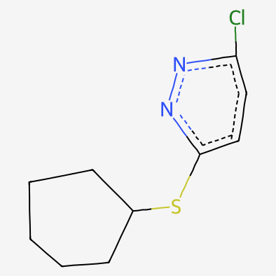 Clc1ccc(SC2CCCCC2)nn1